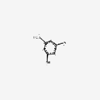 CC(C)c1cc(O)cc(S(=O)(=O)O)c1